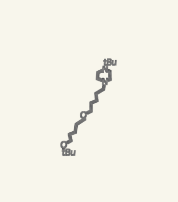 CC(C)(C)OCCCCCOCCCCCN1CCN(C(C)(C)C)CC1